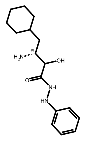 N[C@H](CC1CCCCC1)C(O)C(=O)NNc1ccccc1